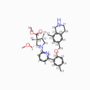 COC[C@H]1N(c2cccc(-c3cc(C)ccc3OCc3cc(C)c4c(c3)CCNC4)n2)C[C@H](C)[C@@]1(C)C(=O)OC